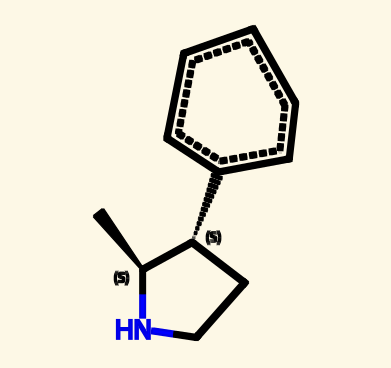 C[C@@H]1NCC[C@H]1c1ccccc1